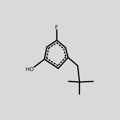 CC(C)(C)Cc1cc(O)cc(F)c1